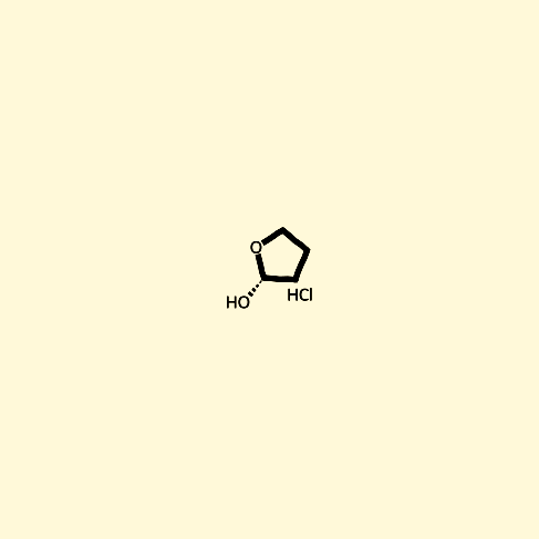 Cl.O[C@H]1CCCO1